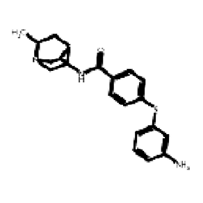 CC1CC2CCN1CC2NC(=O)c1ccc(Sc2cccc(N)c2)cc1